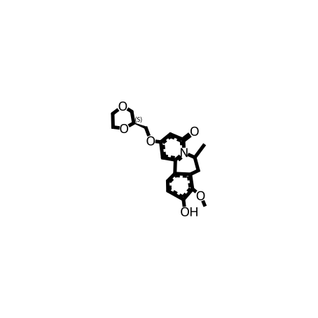 COc1c(O)ccc2c1CC(C)n1c-2cc(OC[C@@H]2COCCO2)cc1=O